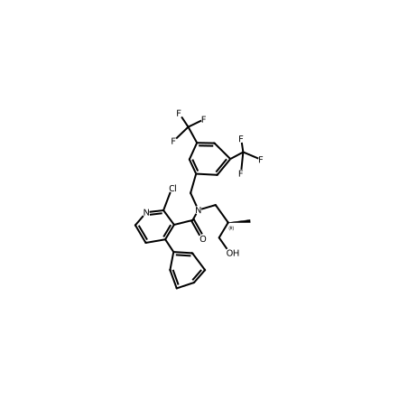 C[C@@H](CO)CN(Cc1cc(C(F)(F)F)cc(C(F)(F)F)c1)C(=O)c1c(-c2ccccc2)ccnc1Cl